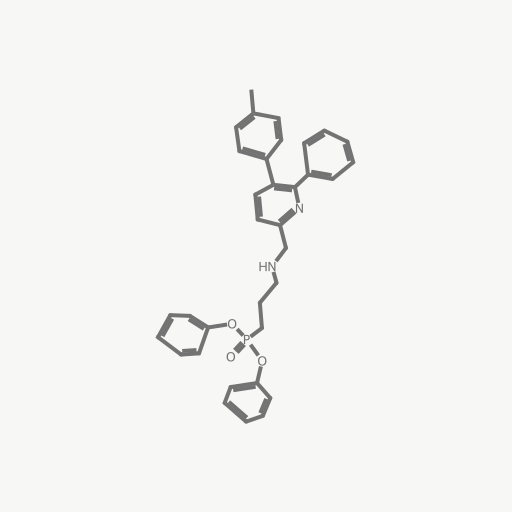 Cc1ccc(-c2ccc(CNCCCP(=O)(Oc3ccccc3)Oc3ccccc3)nc2-c2ccccc2)cc1